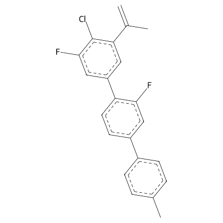 C=C(C)c1cc(-c2ccc(-c3ccc(C)cc3)cc2F)cc(F)c1Cl